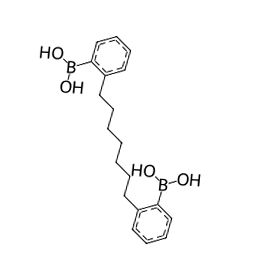 OB(O)c1ccccc1CCCCCCCc1ccccc1B(O)O